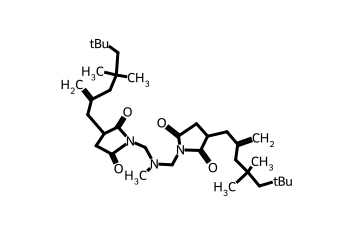 C=C(CC1CC(=O)N(CN(C)CN2C(=O)CC(CC(=C)CC(C)(C)CC(C)(C)C)C2=O)C1=O)CC(C)(C)CC(C)(C)C